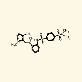 Cc1cnn(C)c1CN(C)c1ccccc1NS(=O)(=O)c1ccc(S(=O)(=O)N(C)C)cc1